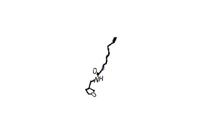 C=CCCCC/C=C/C(=O)NCC1CCOC1